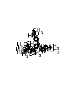 COC(=O)Nc1ccc(Sc2ccc(C(=O)N(OP(=O)(OC(C)(C)C)OC(C)(C)C)C(C)(C)C)cc2Nc2ncnc3nc(C(C)C)ccc23)cc1